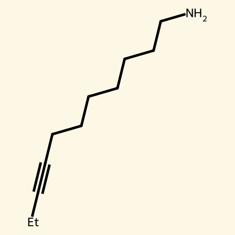 CCC#CCCCCCCCN